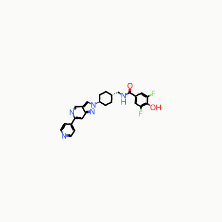 O=C(NC[C@H]1CC[C@H](n2cc3cnc(-c4ccncc4)cc3n2)CC1)c1cc(F)c(O)c(F)c1